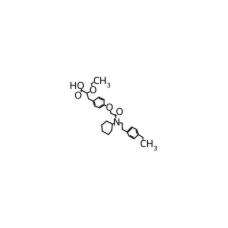 CCOC(Cc1ccc(OCC(=O)N(CCc2ccc(CC)cc2)C2CCCCC2)cc1)C(=O)O